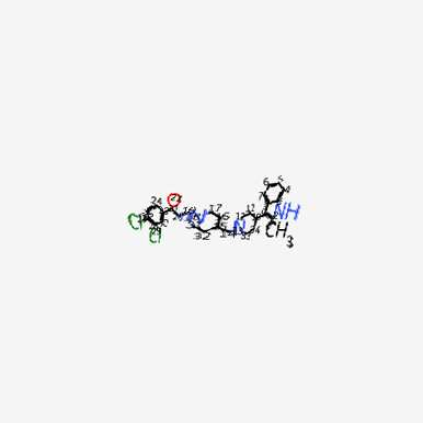 Cc1[nH]c2ccccc2c1C1CCN(CC2CCN(/C=C/C(=O)c3ccc(Cl)c(Cl)c3)CC2)CC1